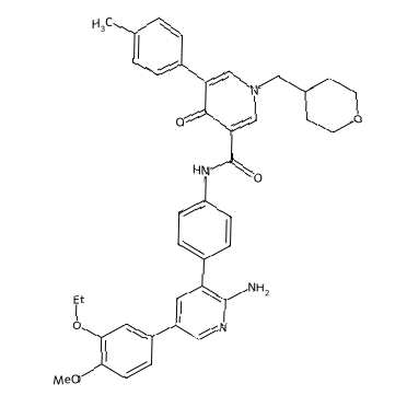 CCOc1cc(-c2cnc(N)c(-c3ccc(NC(=O)c4cn(CC5CCOCC5)cc(-c5ccc(C)cc5)c4=O)cc3)c2)ccc1OC